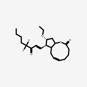 CCCCC(F)(F)C(=O)/C=C/[C@@H]1C2C/C=C\CCCC(=O)OC2C[C@H]1OCC